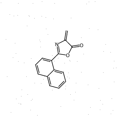 C=C1N=C(c2cccc3ccccc23)OC1=O